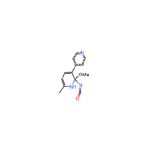 COC1(N=C=O)NC(C)=CC=C1c1ccncc1